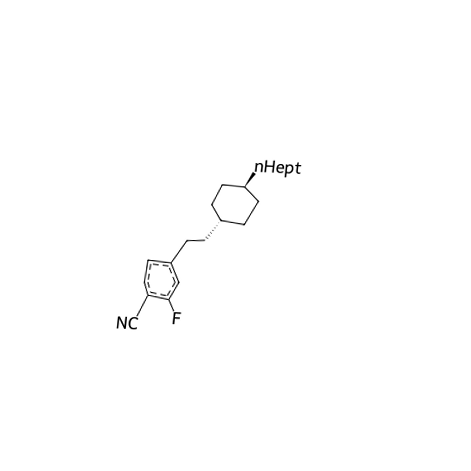 CCCCCCC[C@H]1CC[C@H](CCc2ccc(C#N)c(F)c2)CC1